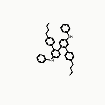 CCCCc1ccc(-c2cc(Nc3ccccc3)ccc2-c2ccc(Nc3ccccc3)cc2-c2ccc(CCCC)cc2)cc1